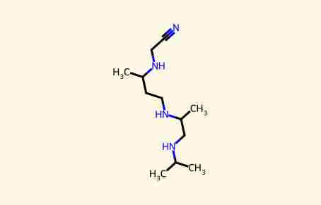 CC(C)NCC(C)NCCC(C)NCC#N